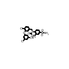 N#Cc1cc(Cl)cc(Oc2cc(CN(C(=O)C(F)(F)F)c3ccc(S(N)(=O)=O)cc3Cl)ccc2Cl)c1